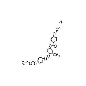 O=C(Oc1ccc(OCOc2ccc(OCOCC3CO3)cc2)c(C(F)(F)F)c1)c1ccc(OCOCC2CO2)cc1